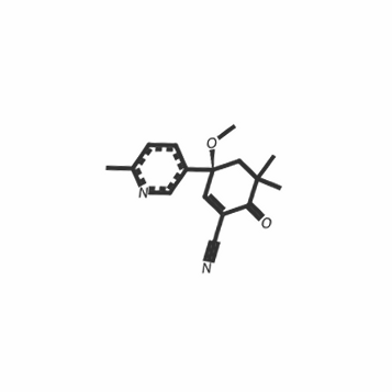 CO[C@]1(c2ccc(C)nc2)C=C(C#N)C(=O)C(C)(C)C1